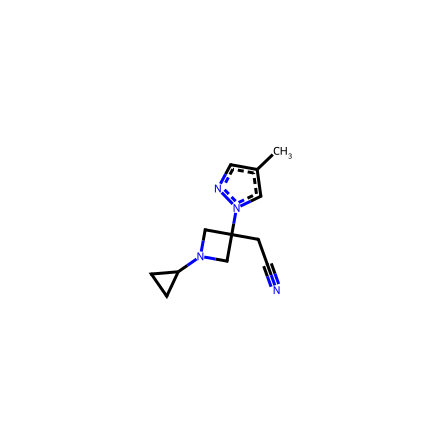 Cc1cnn(C2(CC#N)CN(C3CC3)C2)c1